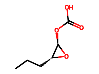 CCC[C@H]1O[C@@H]1OC(=O)O